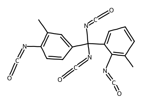 Cc1cc(C(N=C=O)(N=C=O)c2cccc(C)c2N=C=O)ccc1N=C=O